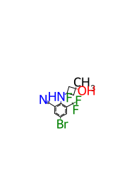 C[C@]1(O)C[C@@H](Nc2c(C#N)cc(Br)cc2C(F)(F)F)C1